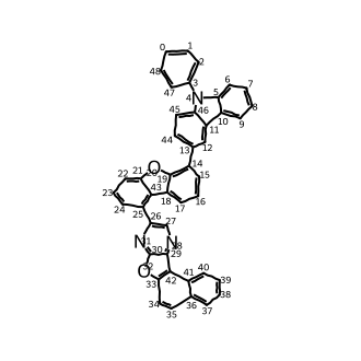 c1ccc(-n2c3ccccc3c3cc(-c4cccc5c4oc4cccc(-c6cnc7c(n6)oc6ccc8ccccc8c67)c45)ccc32)cc1